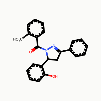 O=C(O)c1ccccc1C(=O)N1N=C(c2ccccc2)CC1c1ccccc1O